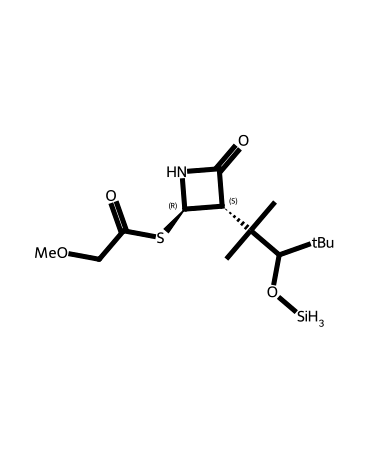 COCC(=O)S[C@H]1NC(=O)[C@@H]1C(C)(C)C(O[SiH3])C(C)(C)C